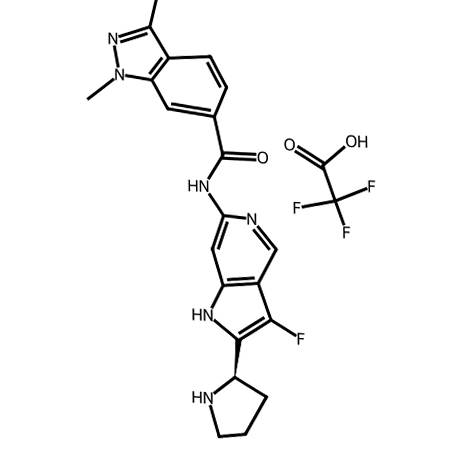 Cc1nn(C)c2cc(C(=O)Nc3cc4[nH]c([C@H]5CCCN5)c(F)c4cn3)ccc12.O=C(O)C(F)(F)F